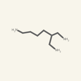 NCCCCC(CN)CN